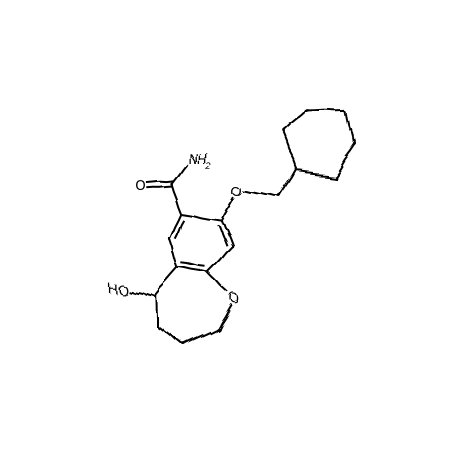 NC(=O)c1cc2c(cc1OCC1CCCCC1)OCCCC2O